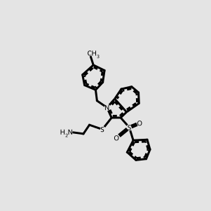 Cc1ccc(Cn2c(SCCN)c(S(=O)(=O)c3ccccc3)c3ccccc32)cc1